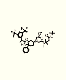 COC(=O)CN(CCNC(C)(C)CC(=O)OC(C)(C)C)C1CCC(NC(=O)C(C)c2cc(C(F)(F)F)cc(C(F)(F)F)c2)(c2ccccc2)CC1